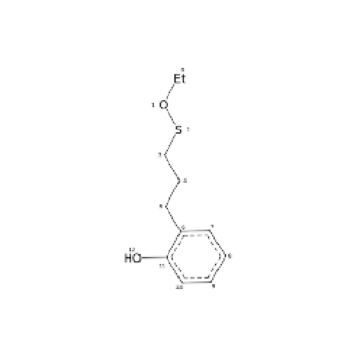 CCOSCCCc1ccccc1O